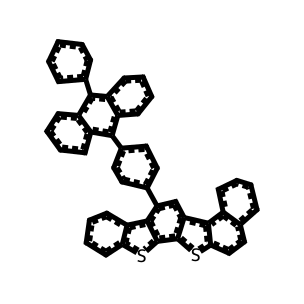 c1ccc(-c2c3ccccc3c(-c3ccc(-c4cc5c(sc6ccc7ccccc7c65)c5sc6ccccc6c45)cc3)c3ccccc23)cc1